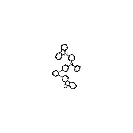 c1ccc(N(c2ccc(-c3ccccc3-c3ccc4c(c3)oc3ccccc34)cc2)c2cccc(-n3c4ccccc4c4ccccc43)c2)cc1